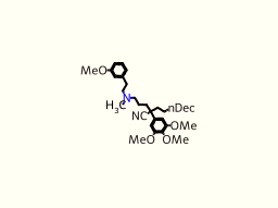 CCCCCCCCCCCCC(C#N)(CCCN(C)CCc1cccc(OC)c1)c1cc(OC)c(OC)c(OC)c1